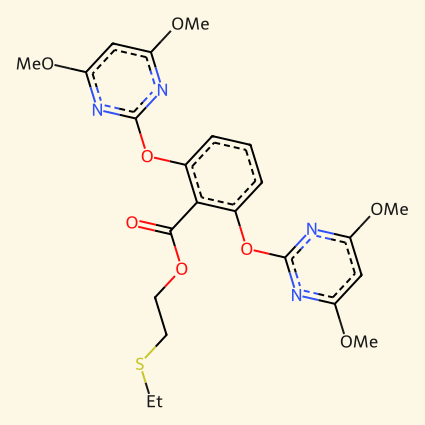 CCSCCOC(=O)c1c(Oc2nc(OC)cc(OC)n2)cccc1Oc1nc(OC)cc(OC)n1